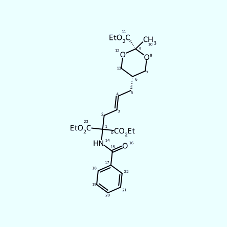 CCOC(=O)C(C/C=C/C[C@H]1CO[C@@](C)(C(=O)OCC)OC1)(NC(=O)c1ccccc1)C(=O)OCC